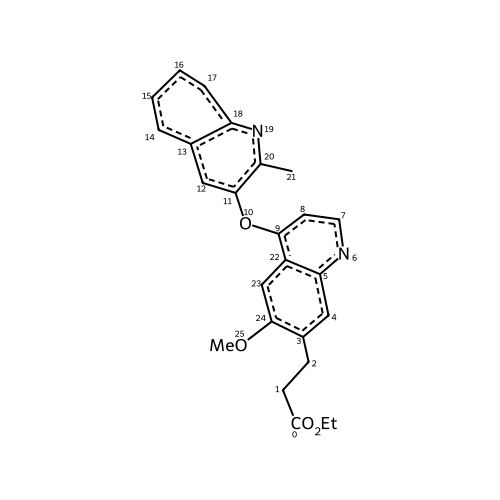 CCOC(=O)CCc1cc2nccc(Oc3cc4ccccc4nc3C)c2cc1OC